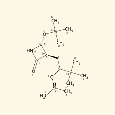 C[SiH](C)OC(C[C@H]1C(=O)N[C@@H]1O[Si](C)(C)C)C(C)(C)C